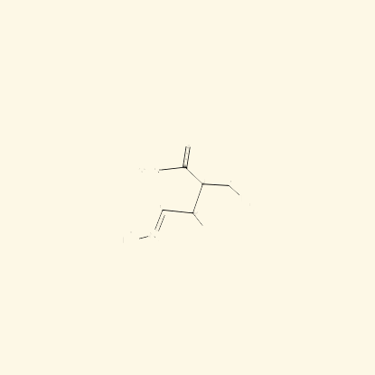 CNC(=O)C(CF)C(C)C=NO